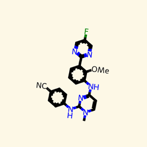 COc1c(NC2=NC(Nc3ccc(C#N)cc3)N(C)C=C2)cccc1-c1ncc(F)cn1